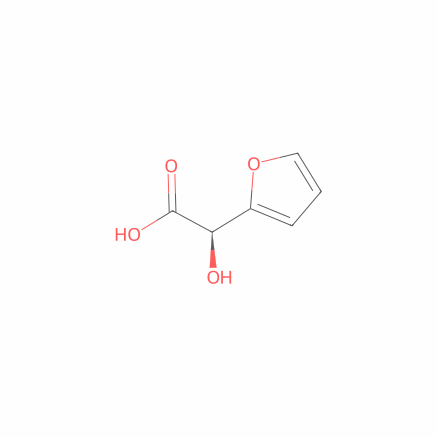 O=C(O)[C@H](O)c1ccco1